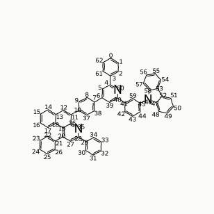 c1ccc(-c2cc(-c3ccc(-c4cc5ccccc5c5c(-c6ccccc6)cc(-c6ccccc6)nc45)cc3)cc(-c3cccc(-n4c5ccccc5c5ccccc54)c3)n2)cc1